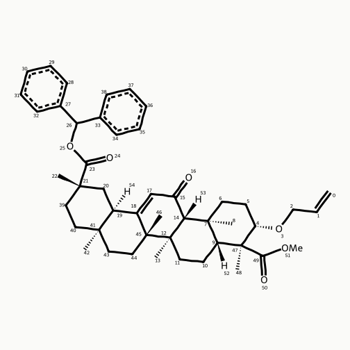 C=CCO[C@H]1CC[C@@]2(C)[C@@H](CC[C@]3(C)[C@@H]2C(=O)C=C2[C@@H]4C[C@@](C)(C(=O)OC(c5ccccc5)c5ccccc5)CC[C@]4(C)CC[C@]23C)[C@]1(C)C(=O)OC